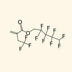 C=C(CC(F)(F)F)C(=O)OCC(F)(F)C(F)(F)C(F)(F)C(F)F